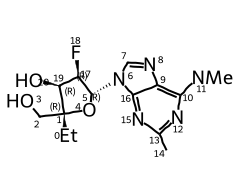 CC[C@]1(CO)O[C@@H](n2cnc3c(NC)nc(C)nc32)[C@H](F)[C@@H]1O